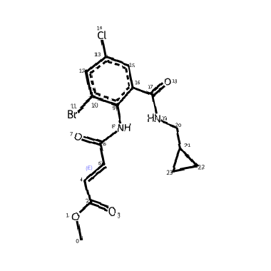 COC(=O)/C=C/C(=O)Nc1c(Br)cc(Cl)cc1C(=O)NCC1CC1